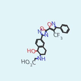 O=C(O)CNC1CCc2cc(-c3noc(-c4onc(-c5ccccc5)c4C(F)(F)F)n3)ccc2C1O